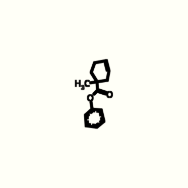 CC1(C(=O)Oc2ccccc2)CC=CCC1